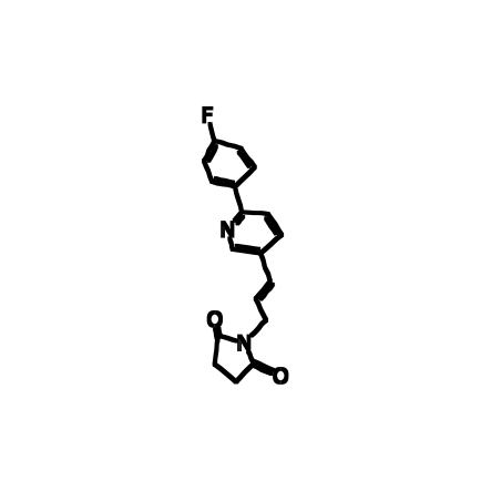 O=C1CCC(=O)N1C/C=C/c1ccc(-c2ccc(F)cc2)nc1